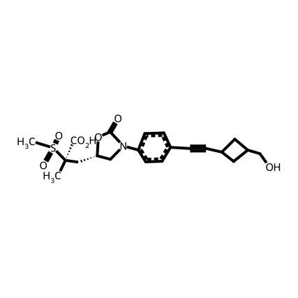 C[C@@](C[C@H]1CN(c2ccc(C#CC3CC(CO)C3)cc2)C(=O)O1)(C(=O)O)S(C)(=O)=O